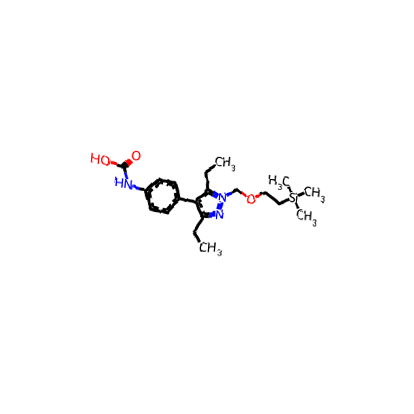 CCc1nn(COCC[Si](C)(C)C)c(CC)c1-c1ccc(NC(=O)O)cc1